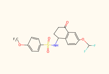 O=C1CCC(NS(=O)(=O)c2ccc(OC(F)(F)F)cc2)c2ccc(OC(F)F)cc21